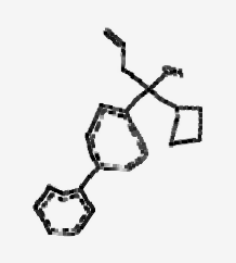 C=CCC(O)(c1ccc(-c2ccccc2)cc1)C1CCC1